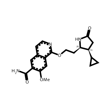 COc1cc2c(OCC[C@H]3NC(=O)C[C@H]3C3CC3)nccc2cc1C(N)=O